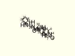 CC1=C2N(C)C(=O)CC[C@]2(C)[C@@H]2CC[C@]3(C)C(C(=O)NCc4cc5ccccc5[nH]4)CC[C@H]3[C@@H]2C1